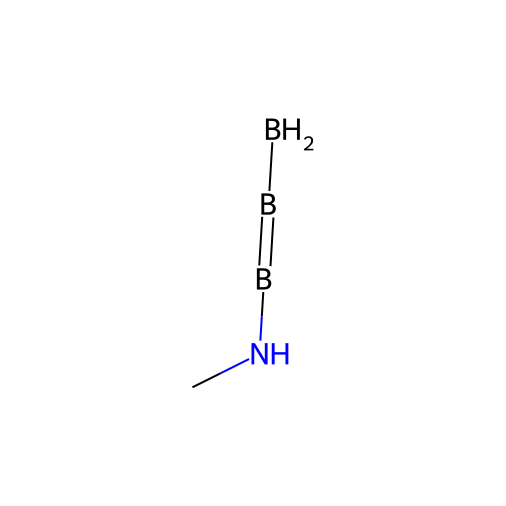 BB=BNC